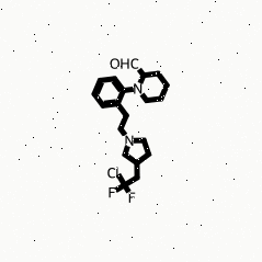 O=CC1CCCCN1c1ccccc1CCN1CCC(CC(F)(F)Cl)C1